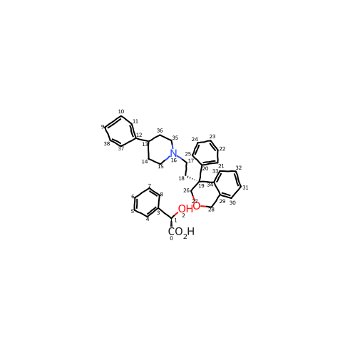 O=C(O)[C@H](O)c1ccccc1.c1ccc(C2CCN(CC[C@@]3(c4ccccc4)COCc4ccccc43)CC2)cc1